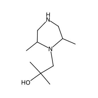 CC1CNCC(C)N1CC(C)(C)O